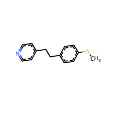 CSc1ccc(CCc2ccncc2)cc1